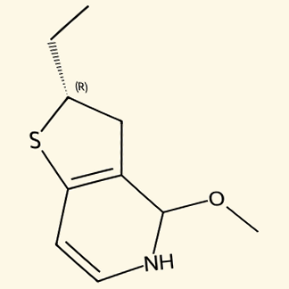 CC[C@@H]1CC2=C(C=CNC2OC)S1